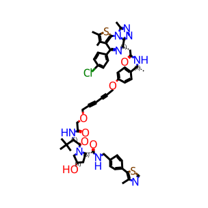 Cc1ncsc1-c1ccc(CNC(=O)[C@@H]2C[C@@H](O)CN2C(=O)[C@@H](NC(=O)COCC#CC#CCOc2ccc([C@@H](C)NC(=O)C[C@@H]3N=C(c4ccc(Cl)cc4)c4c(sc(C)c4C)-n4c(C)nnc43)cc2)C(C)(C)C)cc1